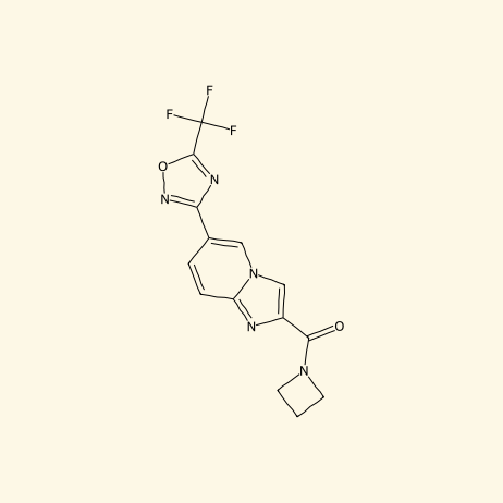 O=C(c1cn2cc(-c3noc(C(F)(F)F)n3)ccc2n1)N1CCC1